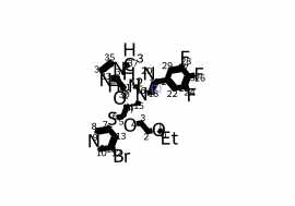 CCOCCOC(Sc1cncc(Br)c1)[C@H](CN(N)/C=C(\N)c1cc(F)c(F)c(F)c1)OCc1nccn1C